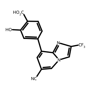 N#Cc1cc(-c2ccc(C(=O)O)c(O)c2)c2nc(C(F)(F)F)cn2c1